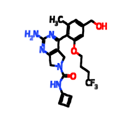 Cc1cc(CO)cc(OCCCC(F)(F)F)c1-c1nc(N)nc2c1CN(C(=O)NC1=CC=C1)C2